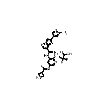 Cc1ncc(NC(=O)C2CNC2)cc1NC(=O)c1cnn2cc(-c3cnn(C)c3)sc12.O=C(O)C(F)(F)F